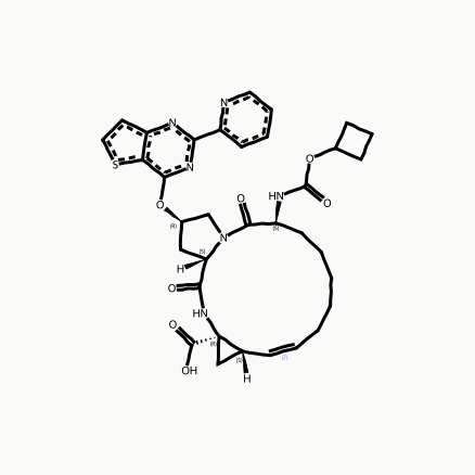 O=C(N[C@H]1CCCCC/C=C\[C@@H]2C[C@@]2(C(=O)O)NC(=O)[C@@H]2C[C@@H](Oc3nc(-c4ccccn4)nc4ccsc34)CN2C1=O)OC1CCC1